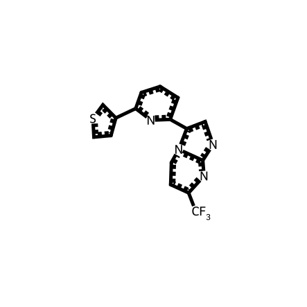 FC(F)(F)c1ccn2c(-c3cccc(-c4ccsc4)n3)cnc2n1